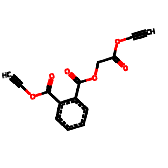 C#COC(=O)COC(=O)c1ccccc1C(=O)OC#C